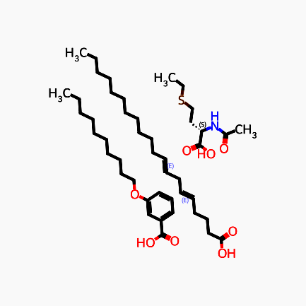 CCCCCCCCCCC/C=C/C/C=C/CCCC(=O)O.CCCCCCCCCCOc1cccc(C(=O)O)c1.CCSCC[C@H](NC(C)=O)C(=O)O